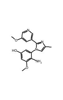 COc1cncc(-c2nc(C)cn2-c2cc(O)cc(OC)c2N)c1